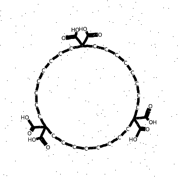 O=C(O)C1(C(=O)O)CCCCCCCCC(C(=O)O)(C(=O)O)CCCCCCCCC(C(=O)O)(C(=O)O)CCCCCCCC1